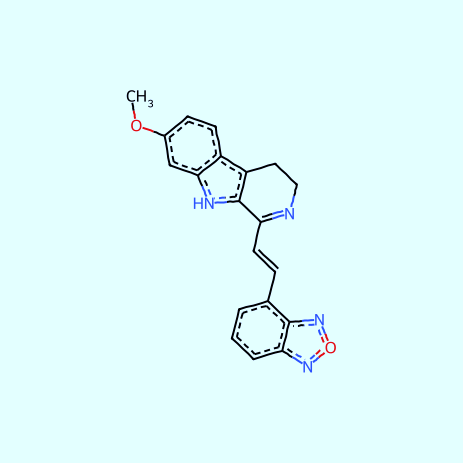 COc1ccc2c3c([nH]c2c1)C(/C=C/c1cccc2nonc12)=NCC3